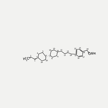 C=CC[C@H]1CC[C@H](C2CCC(CCCCc3ccc(COC)cc3)CC2)CC1